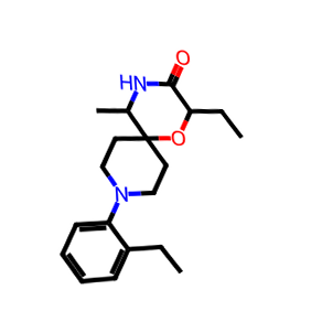 CCc1ccccc1N1CCC2(CC1)OC(CC)C(=O)NC2C